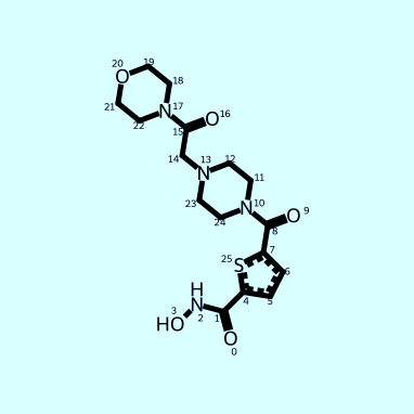 O=C(NO)c1ccc(C(=O)N2CCN(CC(=O)N3CCOCC3)CC2)s1